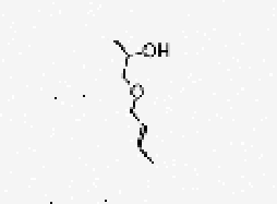 [CH2]C(O)COCC=CC